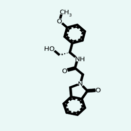 COc1cccc([C@@H](CO)NC(=O)CN2Cc3ccccc3C2=O)c1